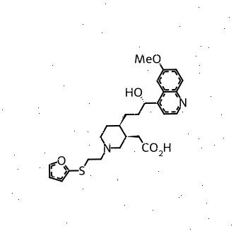 COc1ccc2nccc([C@@H](O)CC[C@@H]3CCN(CCSc4ccco4)C[C@@H]3CC(=O)O)c2c1